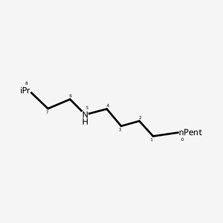 CCCCCCCCCNCCC(C)C